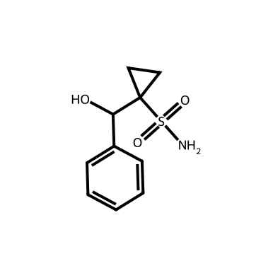 NS(=O)(=O)C1(C(O)c2ccccc2)CC1